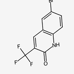 O=c1[nH]c2ccc(Br)cc2cc1C(F)(F)F